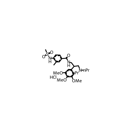 CCCN(CCC)CC(CNC(=O)c1ccc(NS(C)(=O)=O)c(C)c1)c1cc(OC)c(OC)c(OC)c1.Cl